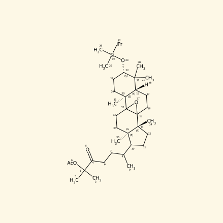 CC(=O)OC(C)(C)C(=O)CCC(C)C1CC[C@@]2(C)C34CC[C@H]5C(C)(C)[C@@H](O[Si](C)(C)C(C)C)CC[C@]5(C)C3(CC[C@]12C)O4